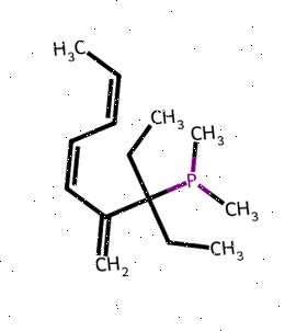 C=C(/C=C\C=C/C)C(CC)(CC)P(C)C